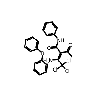 CC(=O)/C(C(=O)Nc1ccccc1)=C(/N)C(Cl)(Cl)Cl.[B](c1ccccc1)c1ccccc1